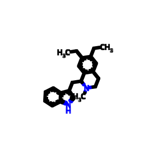 CCc1cc2c(cc1CC)C(Cc1c[nH]c3ccccc13)N(C)CC2